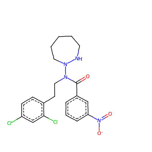 O=C(c1cccc([N+](=O)[O-])c1)N(CCc1ccc(Cl)cc1Cl)N1CCCCCN1